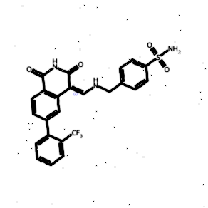 NS(=O)(=O)c1ccc(CN/C=C2\C(=O)NC(=O)c3ccc(-c4ccccc4C(F)(F)F)cc32)cc1